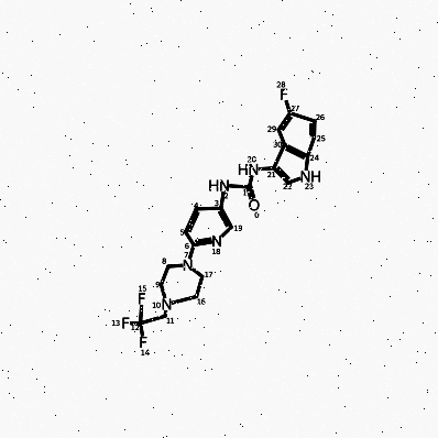 O=C(Nc1ccc(N2CCN(CC(F)(F)F)CC2)nc1)Nc1c[nH]c2ccc(F)cc12